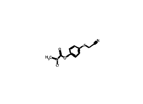 CN(Cl)C(=O)Oc1ccc(SCC#N)cc1